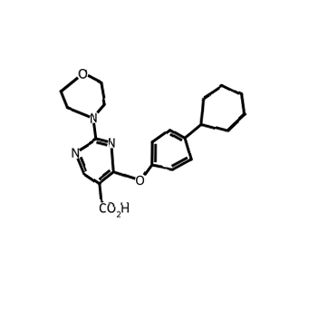 O=C(O)c1cnc(N2CCOCC2)nc1Oc1ccc(C2CCCCC2)cc1